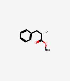 C[C@@H](Cc1ccccc1)C(=O)OC(C)(C)C